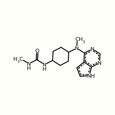 CNC(=O)NC1CCC(N(C)c2ncnc3[nH]ccc23)CC1